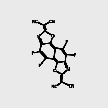 N#CC(C#N)=c1nc2c(F)c(F)c3c4oc(=C(C#N)C#N)nc4c(F)c(F)c3c2o1